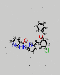 O=C(Nc1cccc(Cc2cc(Cl)ccc2OCc2ccccc2)n1)c1cccnc1